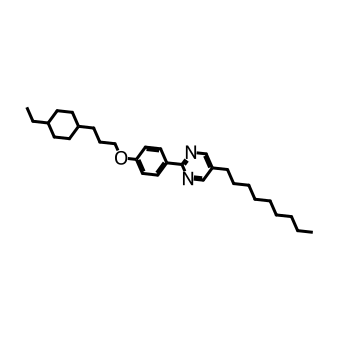 CCCCCCCCCc1cnc(-c2ccc(OCCCC3CCC(CC)CC3)cc2)nc1